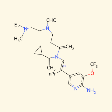 C=C(CCN(C=O)CCN(C)CC)N(/C=C(\CCC)c1cnc(N)c(OC(F)(F)F)c1)C(=C)C1CC1